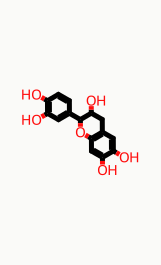 Oc1ccc(C2Oc3cc(O)c(O)cc3CC2O)cc1O